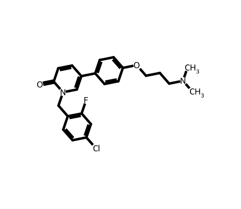 CN(C)CCCOc1ccc(-c2ccc(=O)n(Cc3ccc(Cl)cc3F)c2)cc1